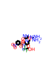 Cc1ccc(NS(=O)(=O)c2cccc([N+](=O)[O-])c2)c(=O)n1C(C(N)=O)C(C)ON=C(N)N.O=C(O)C(F)(F)F